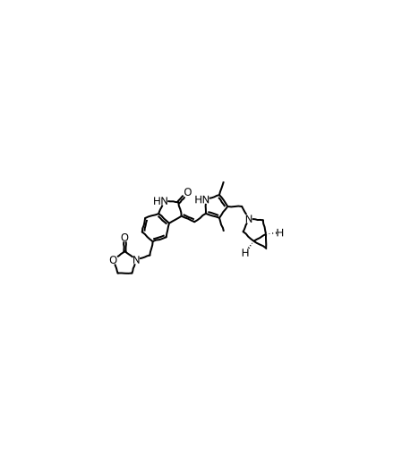 Cc1[nH]c(C=C2C(=O)Nc3ccc(CN4CCOC4=O)cc32)c(C)c1CN1C[C@H]2C[C@H]2C1